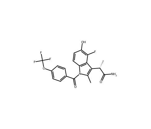 Cc1c([C@H](C)C(N)=O)c2c(F)c(O)ccc2n1C(=O)c1ccc(OC(F)(F)F)cc1